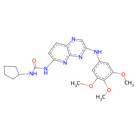 COc1cc(Nc2cnc3ccc(NC(=O)NC4CCCC4)nc3n2)cc(OC)c1OC